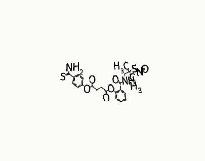 CC(C)(CNC(=O)c1ccccc1OC(=O)CCC(=O)Oc1ccc(C(N)=S)cc1)SN=O